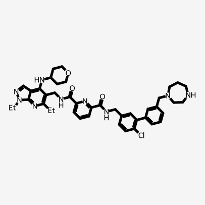 CCc1nc2c(cnn2CC)c(NC2CCOCC2)c1CNC(=O)c1cccc(C(=O)NCc2ccc(Cl)c(-c3cccc(CN4CCCNCC4)c3)c2)n1